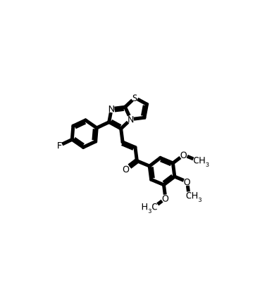 COc1cc(C(=O)C=Cc2c(-c3ccc(F)cc3)nc3sccn23)cc(OC)c1OC